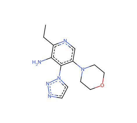 CCc1ncc(N2CCOCC2)c(-n2ccnn2)c1N